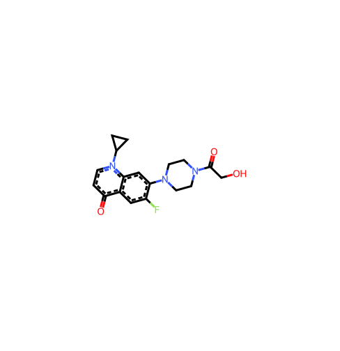 O=C(CO)N1CCN(c2cc3c(cc2F)c(=O)ccn3C2CC2)CC1